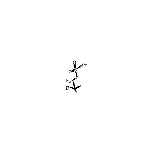 CCCS(=O)(=O)O[SiH2]C(C)(C)CC